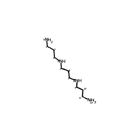 NCCCNCCCNCCCN